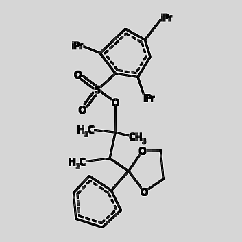 CC(C)c1cc(C(C)C)c(S(=O)(=O)OC(C)(C)C(C)C2(c3ccccc3)OCCO2)c(C(C)C)c1